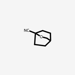 N#CC12CCC(CC1)CO2